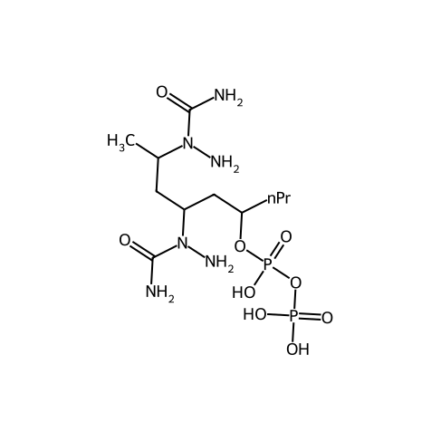 CCCC(CC(CC(C)N(N)C(N)=O)N(N)C(N)=O)OP(=O)(O)OP(=O)(O)O